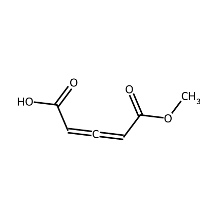 COC(=O)C=C=CC(=O)O